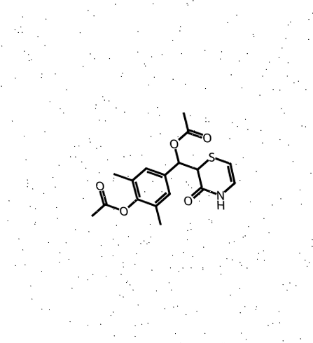 CC(=O)Oc1c(C)cc(C(OC(C)=O)C2SC=CNC2=O)cc1C